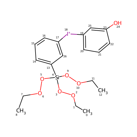 CCOO[Si](OOCC)(OOCC)c1cccc([I+]c2cccc(O)c2)c1